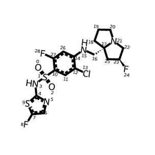 O=S(=O)(Nc1ncc(F)s1)c1cc(Cl)c(NC[C@]23CCCN2C[C@@H](F)C3)cc1F